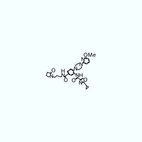 COc1cccc(N2CCN(c3ccc(C(=O)NCCCN4CCCC4=O)cc3NC(=O)c3coc(C4CC4)n3)CC2)n1